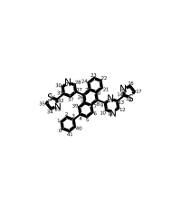 c1ccc(-c2ccc3c(-c4cncc(-c5nccs5)n4)c4ccccc4c(-c4cncc(-c5nccs5)c4)c3c2)cc1